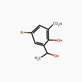 CC(O)c1cc(Br)cc(C(=O)O)c1O